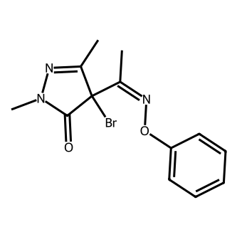 CC(=NOc1ccccc1)C1(Br)C(=O)N(C)N=C1C